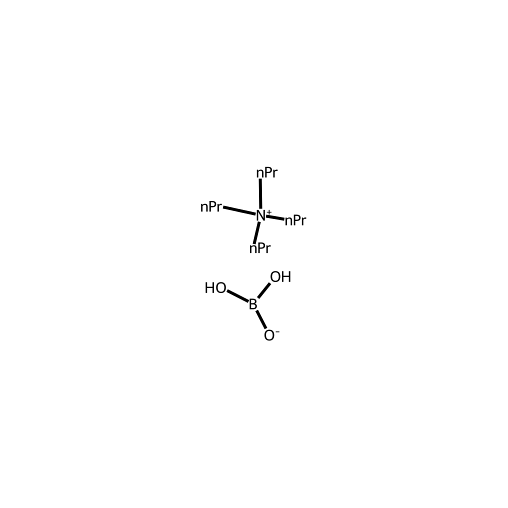 CCC[N+](CCC)(CCC)CCC.[O-]B(O)O